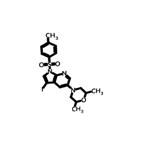 Cc1ccc(S(=O)(=O)n2cc(I)c3cc(N4CC(C)OC(C)C4)cnc32)cc1